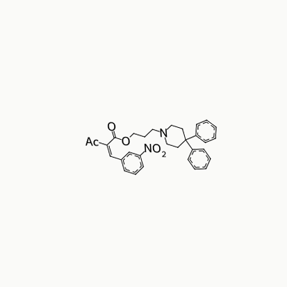 CC(=O)C(=Cc1cccc([N+](=O)[O-])c1)C(=O)OCCCN1CCC(c2ccccc2)(c2ccccc2)CC1